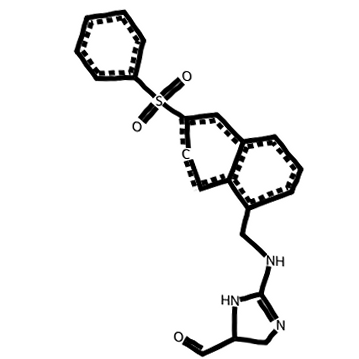 O=CC1CN=C(NCc2cccc3cc(S(=O)(=O)c4ccccc4)ccc23)N1